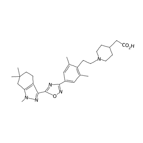 Cc1cc(-c2noc(-c3nn(C)c4c3CCC(C)(C)C4)n2)cc(C)c1CCN1CCC(CC(=O)O)CC1